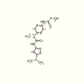 CC(C)c1csc(NC(=O)[C@H](C)c2ccc(NC(=O)CO)cc2)n1